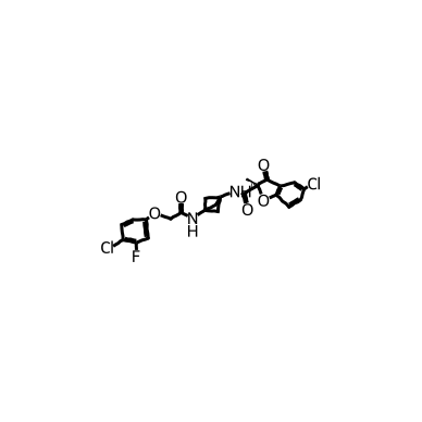 C[C@]1(C(=O)NC23CC(NC(=O)COc4ccc(Cl)c(F)c4)(C2)C3)Oc2ccc(Cl)cc2C1=O